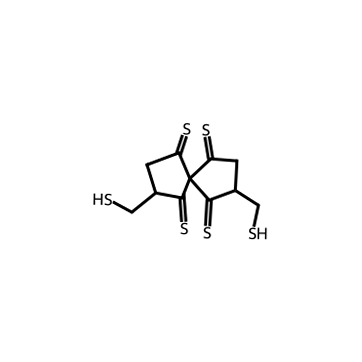 S=C1CC(CS)C(=S)C12C(=S)CC(CS)C2=S